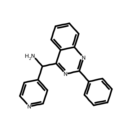 NC(c1ccncc1)c1nc(-c2ccccc2)nc2ccccc12